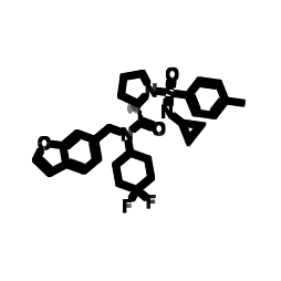 Cc1ccc(S(=O)(=NC2CC2)N2CCC[C@H]2C(=O)N(Cc2ccc3ccoc3c2)C2CCC(F)(F)CC2)cc1